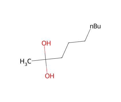 CCCCCCCC(C)(O)O